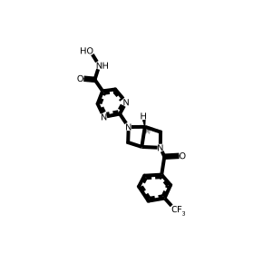 O=C(NO)c1cnc(N2CC3[C@H]2CN3C(=O)c2cccc(C(F)(F)F)c2)nc1